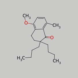 CCCCC1(CCCC)CCc2c(OC)ccc(C)c2C1=O